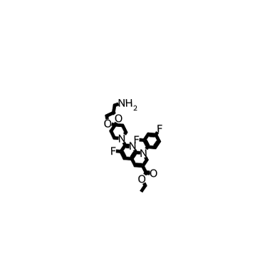 CCOC(=O)C1=Cc2cc(F)c(N3CCC4(CC3)OCC(CN)O4)nc2N(c2ccc(F)cc2F)C1